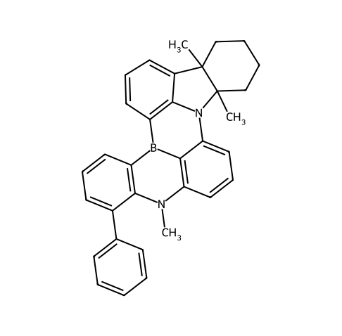 CN1c2cccc3c2B(c2cccc(-c4ccccc4)c21)c1cccc2c1N3C1(C)CCCCC21C